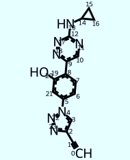 C#Cc1cn(-c2ccc(-c3cnc(NC4CC4)nn3)c(O)c2)nn1